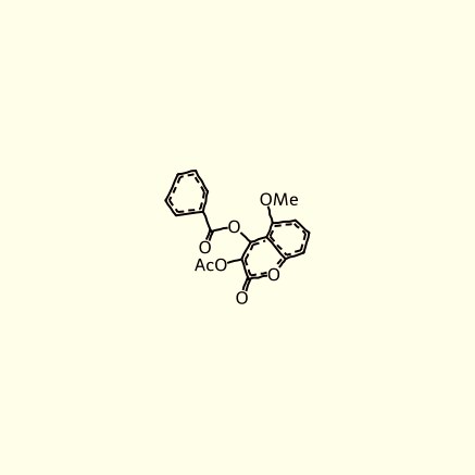 COc1cccc2oc(=O)c(OC(C)=O)c(OC(=O)c3ccccc3)c12